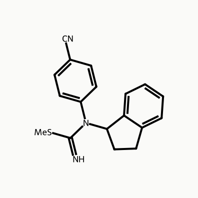 CSC(=N)N(c1ccc(C#N)cc1)C1CCc2ccccc21